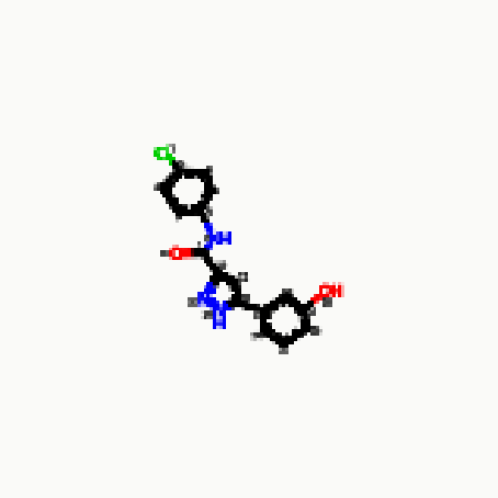 O=C(Nc1ccc(Cl)cc1)c1cc(-c2cccc(O)c2)[nH]n1